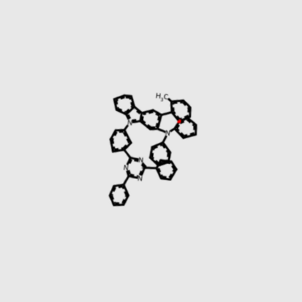 Cc1ccccc1-c1cc2c3ccccc3n(-c3cccc(-c4nc(-c5ccccc5)nc(-c5ccccc5)n4)c3)c2cc1N(c1ccccc1)c1ccccc1